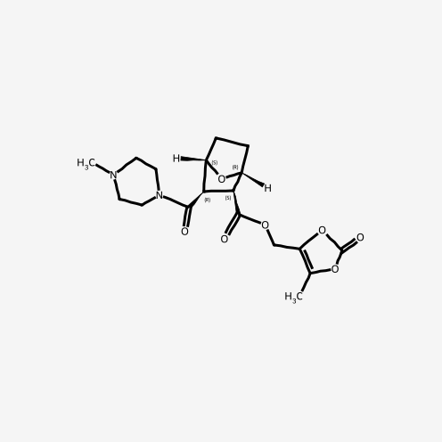 Cc1oc(=O)oc1COC(=O)[C@H]1[C@@H](C(=O)N2CCN(C)CC2)[C@@H]2CC[C@H]1O2